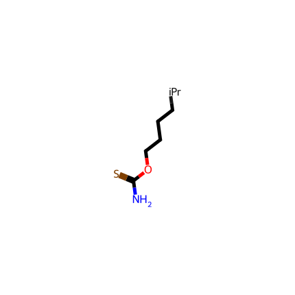 CC(C)CCCCOC(N)=S